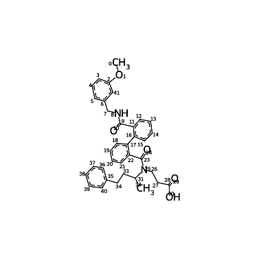 COc1cccc(CNC(=O)c2ccccc2-c2ccccc2C(=O)N(CCC(=O)O)C(C)CCc2ccccc2)c1